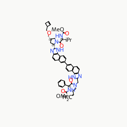 C=CCCN(Cc1nc2ccc3cc(-c4ccc5c(ccc6nc([C@@H]7C[C@H](COCC8C=CC8)CN7C(=O)[C@@H](NC(=O)OC)C(C)C)[nH]c65)c4)ccc3c2[nH]1)C(=O)[C@H](NC(=O)OC)c1ccccc1